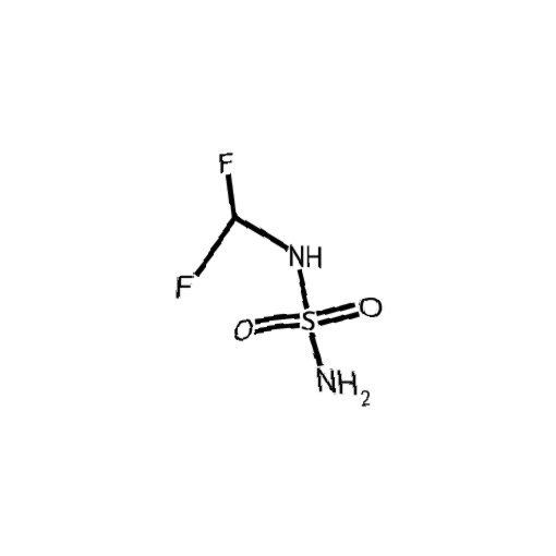 NS(=O)(=O)NC(F)F